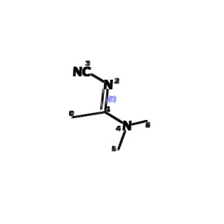 C/C(=N\C#N)N(C)C